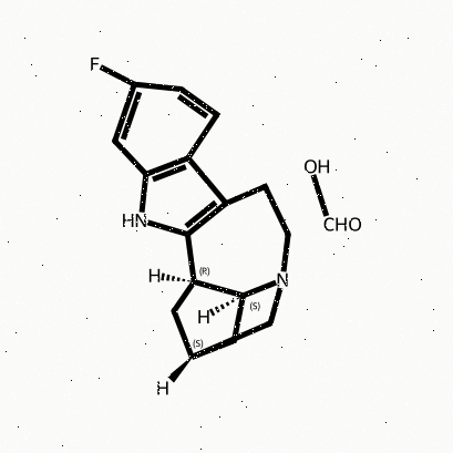 Fc1ccc2c3c([nH]c2c1)[C@@H]1C[C@H]2C[C@@H]1N(CC3)C2.O=CO